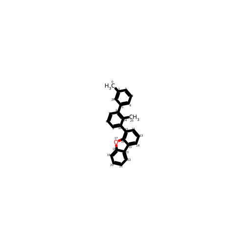 Cc1cccc(-c2cccc(-c3cccc4c3oc3ccccc34)c2C)c1